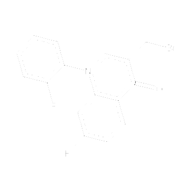 O=c1c(CBr)cn(-c2ccccc2F)c2cc(F)ccc12